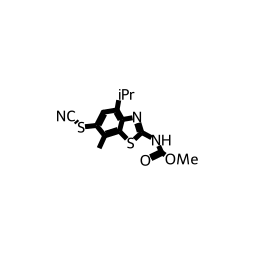 COC(=O)Nc1nc2c(C(C)C)cc(SC#N)c(C)c2s1